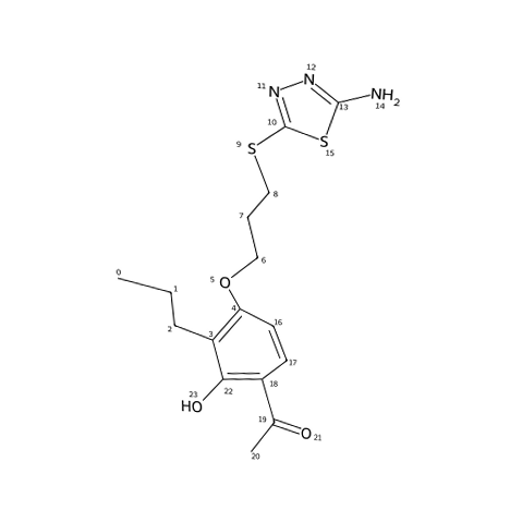 CCCc1c(OCCCSc2nnc(N)s2)ccc(C(C)=O)c1O